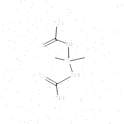 C[Si](C)(NC(N)=O)NC(N)=O